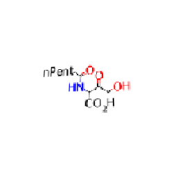 CCCCCC(=O)NC(C(=O)O)C(=O)CO